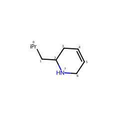 [CH2]C(C)CC1CC=CCN1